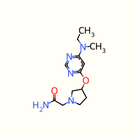 CCN(C)c1cc(OC2CCN(CC(N)=O)C2)ncn1